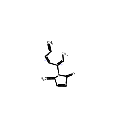 C=C/C=C\C(=C/C)N1C(=C)C=CC1=O